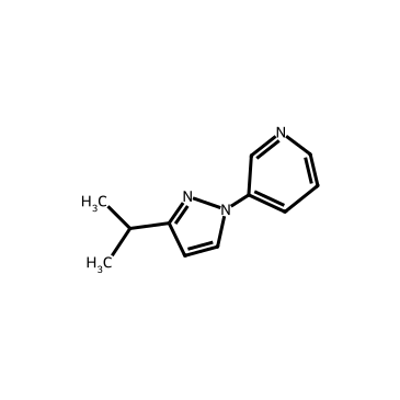 CC(C)c1ccn(-c2cccnc2)n1